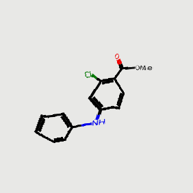 COC(=O)c1ccc(Nc2ccccc2)cc1Cl